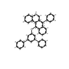 c1ccc(-c2cc(Oc3c4ccccc4c(-c4ccccc4)c4cnc5ccccc5c34)cc(-c3ccccc3)c2)cc1